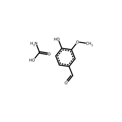 COc1cc(C=O)ccc1O.NC(=O)O